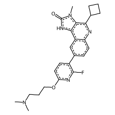 CN(C)CCCOc1ccc(-c2ccc3nc(C4CCC4)c4c([nH]c(=O)n4C)c3c2)c(F)n1